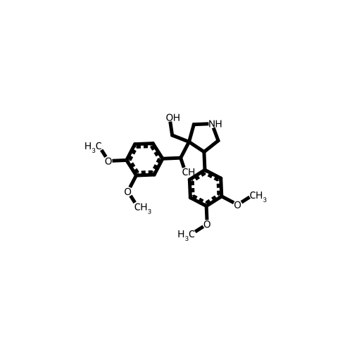 COc1ccc(C(C)C2(CO)CNCC2c2ccc(OC)c(OC)c2)cc1OC